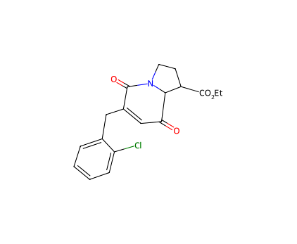 CCOC(=O)C1CCN2C(=O)C(Cc3ccccc3Cl)=CC(=O)C12